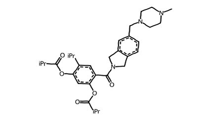 CC(C)C(=O)Oc1cc(OC(=O)C(C)C)c(C(C)C)cc1C(=O)N1Cc2ccc(CN3CCN(C)CC3)cc2C1